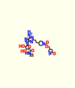 CCNC(=O)[C@H]1O[C@@H](n2cnc3c(N)nc(CCC4CCN(C(=O)OCC5CC(=O)N(C)C5)CC4)nc32)C(O)C1O